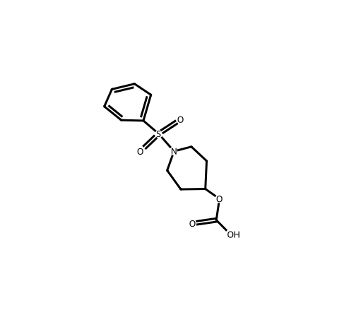 O=C(O)OC1CCN(S(=O)(=O)c2ccccc2)CC1